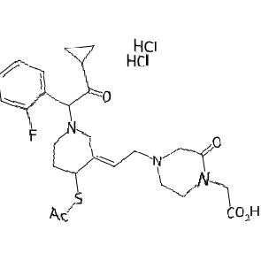 CC(=O)SC1CCN(C(C(=O)C2CC2)c2ccccc2F)CC1=CCN1CCN(CC(=O)O)C(=O)C1.Cl.Cl